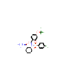 NC(=O)[C@H]1CCCC[C@H]1N(Cc1ccc(OC(F)(F)F)cc1)S(=O)(=O)c1ccc(Cl)cc1